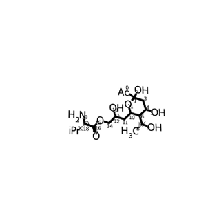 CC(=O)C1(O)CC(O)C([C@@H](C)O)C(C[C@H](O)COC(=O)[C@@H](N)C(C)C)O1